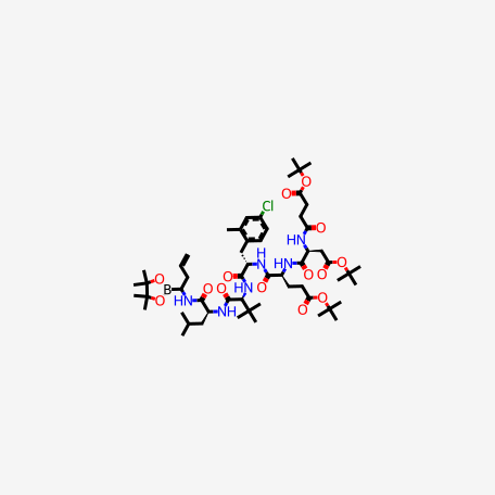 C=CCC(NC(=O)[C@H](CC(C)C)NC(=O)[C@@H](NC(=O)[C@H](Cc1ccc(Cl)cc1C)NC(=O)[C@H](CCC(=O)OC(C)(C)C)NC(=O)[C@H](CC(=O)OC(C)(C)C)NC(=O)CCC(=O)OC(C)(C)C)C(C)(C)C)B1OC(C)(C)C(C)(C)O1